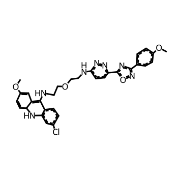 COC1=CC2=C(NCCOCCNc3ccc(-c4nc(-c5ccc(OC)cc5)no4)nn3)c3ccc(Cl)cc3NC2C=C1